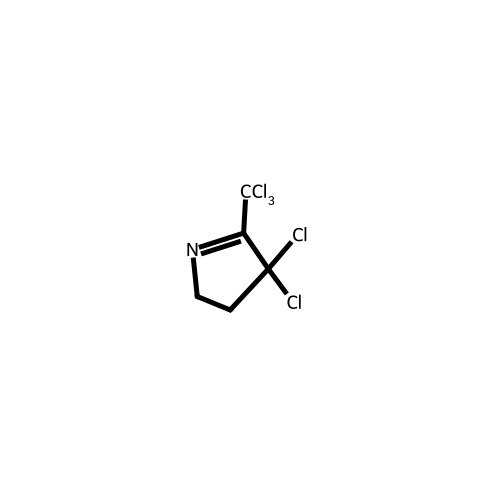 ClC(Cl)(Cl)C1=NCCC1(Cl)Cl